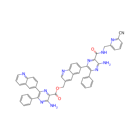 N#Cc1cccc(CNC(=O)c2nc(-c3ccc4ncc(COC(=O)c5nc(-c6ccc7ncccc7c6)c(-c6ccccc6)nc5N)cc4c3)c(-c3ccccc3)nc2N)n1